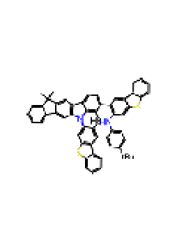 CC(C)(C)c1ccc(Nc2cc3sc4ccccc4c3cc2-c2ccc3c4cc5c(cc4n4c3c2Bc2cc3c(cc2-4)sc2ccccc23)-c2ccccc2C5(C)C)cc1